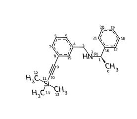 C[C@@H](NCc1cccc(C#C[Si](C)(C)C)c1)c1ccccc1